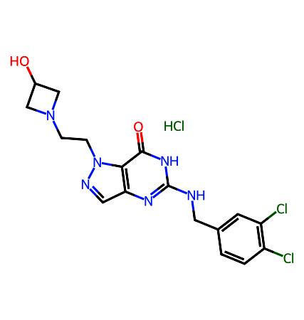 Cl.O=c1[nH]c(NCc2ccc(Cl)c(Cl)c2)nc2cnn(CCN3CC(O)C3)c12